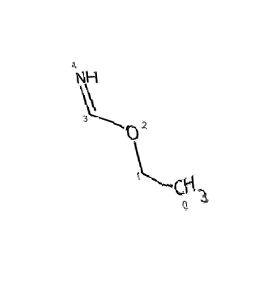 C[CH]OC=N